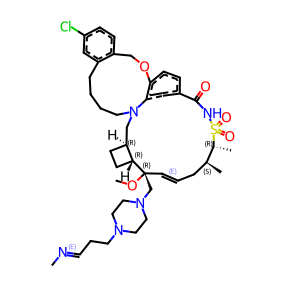 C/N=C/CCN1CCN(C[C@]2(OC)/C=C/C[C@H](C)[C@@H](C)S(=O)(=O)NC(=O)c3ccc4c(c3)N(CCCCc3cc(Cl)ccc3CO4)C[C@@H]3CC[C@H]32)CC1